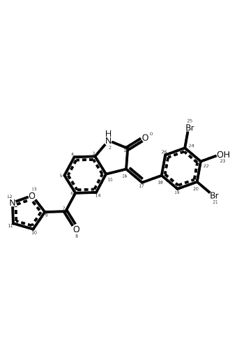 O=C1Nc2ccc(C(=O)c3ccno3)cc2C1=Cc1cc(Br)c(O)c(Br)c1